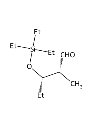 CC[C@H](O[Si](CC)(CC)CC)[C@@H](C)C=O